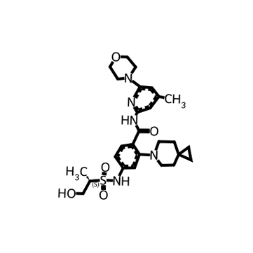 Cc1cc(NC(=O)c2ccc(NS(=O)(=O)[C@@H](C)CO)cc2N2CCC3(CC2)CC3)nc(N2CCOCC2)c1